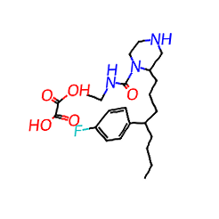 CCCCC(CCCC1CNCCN1C(=O)NCC)c1ccc(F)cc1.O=C(O)C(=O)O